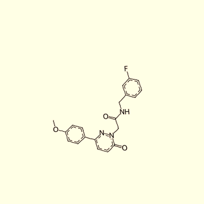 COc1ccc(-c2ccc(=O)n(CC(=O)NCc3cccc(F)c3)n2)cc1